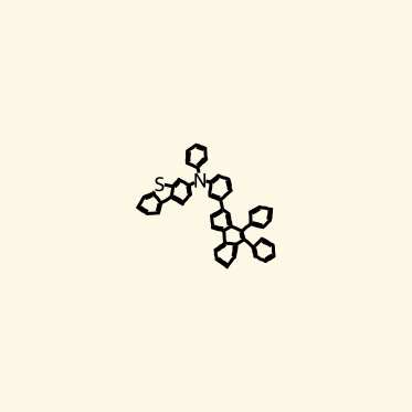 c1ccc(-c2c(-c3ccccc3)c3cc(-c4cccc(N(c5ccccc5)c5ccc6c(c5)sc5ccccc56)c4)ccc3c3ccccc23)cc1